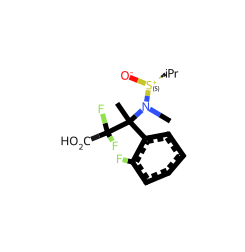 CC(C)[S@@+]([O-])N(C)C(C)(c1ccccc1F)C(F)(F)C(=O)O